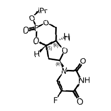 CC(C)OP1(=O)OC[C@H]2O[C@@H](n3cc(F)c(=O)[nH]c3=O)C[C@@H]2O1